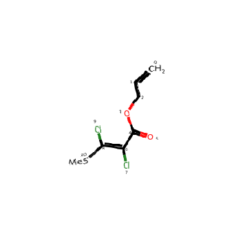 C=CCOC(=O)C(Cl)=C(Cl)SC